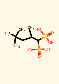 CC(CC(C)(C)C)C(P(=O)(O)O)P(=O)(O)O